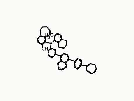 Cc1ccc2c(c1B(c1cccc(-c3ccc(-c4ccc(C5=CCC=CC=C5)cc4)c4ccccc34)c1)c1c(C)ccc3c1C=CCCC3)C=CCC2